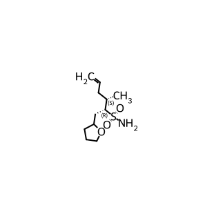 C=CC[C@H](C)[C@@H](CC1CCCO1)S(N)(=O)=O